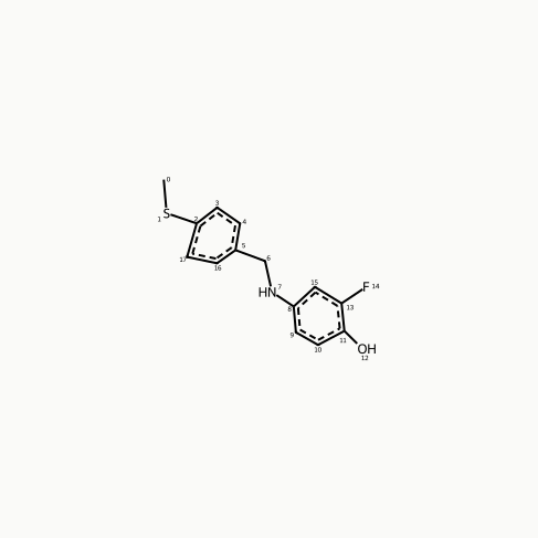 CSc1ccc(CNc2ccc(O)c(F)c2)cc1